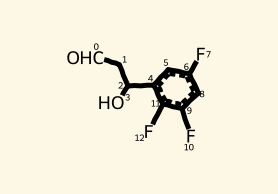 O=CCC(O)c1cc(F)cc(F)c1F